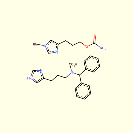 CC(C)(C)n1cnc(CCCOC(N)=O)c1.O=C(O)N(CCCc1c[nH]cn1)C(c1ccccc1)c1ccccc1